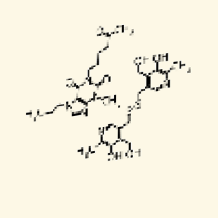 CCCn1cnc2c1c(=O)n(CCCCC(C)=O)c(=O)n2C.Cc1ncc(CSSCc2cnc(C)c(O)c2CO)c(CO)c1O